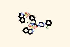 CN([C@@H](Cc1ccc(OS(=O)(=O)c2nccc3ccccc23)cc1)C(=O)N1CCN(c2ccccc2Cl)CC1)S(=O)(=O)c1nccc2ccccc12